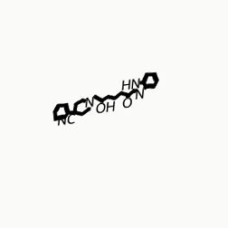 N#CC1(c2ccccc2)CCN(CC(O)CCCC(=O)c2nc3ccccc3[nH]2)CC1